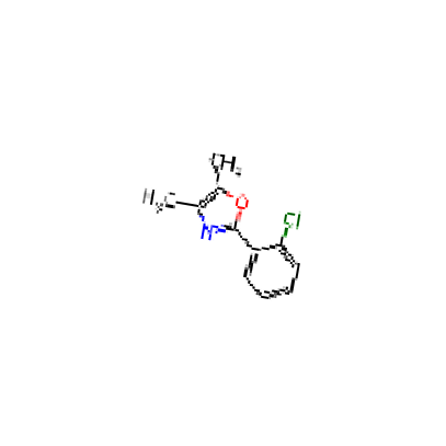 Cc1nc(-c2ccccc2Cl)oc1C